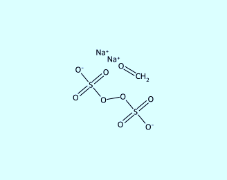 C=O.O=S(=O)([O-])OOS(=O)(=O)[O-].[Na+].[Na+]